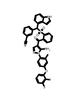 Cc1cc(Oc2cccc(F)c2F)ccc1-n1ncc(C(=O)c2ccccc2S(=O)(=O)C(c2cccc(C#N)c2)c2cccc3[nH]ccc23)c1N